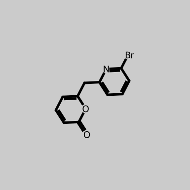 O=c1cccc(Cc2cccc(Br)n2)o1